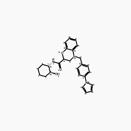 O=C(N[C@H]1CCCC[C@@H]1O)C1CN(Cc2ccc(-n3cccc3)cc2)c2ccccc2O1